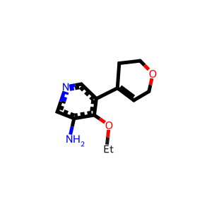 CCOc1c(N)cncc1C1=CCOCC1